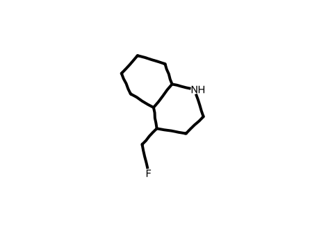 FCC1CCNC2CCCCC12